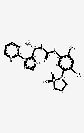 Cc1cc(C)c(N2CCCS2(=O)=O)cc1NC(=O)N[C@@H](C)c1ncnn1-c1ncccn1